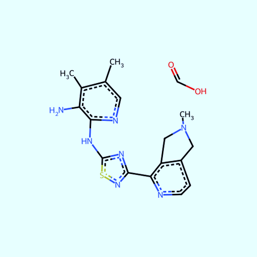 Cc1cnc(Nc2nc(-c3nccc4c3CN(C)C4)ns2)c(N)c1C.O=CO